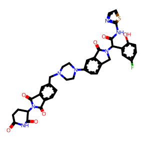 O=C1CCC(N2C(=O)c3ccc(CN4CCN(c5ccc6c(c5)C(=O)N(C(C(=O)Nc5nccs5)c5cc(F)ccc5O)C6)CC4)cc3C2=O)C(=O)N1